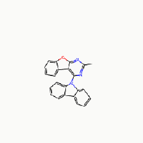 Cc1nc(-n2c3ccccc3c3ccccc32)c2c(n1)oc1ccccc12